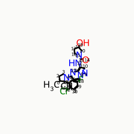 C[C@@H]1CCN(c2ccn3ncc(NC(=O)N4CC[C@H](O)C4)c3n2)[C@@]1(C)c1cc(F)ccc1Cl